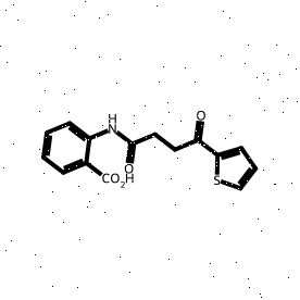 O=C(CCC(=O)c1cccs1)Nc1ccccc1C(=O)O